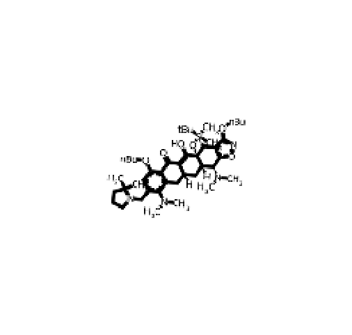 CCCCOc1cc(CN2CCCC2(C)C)c(N(C)C)c2c1C(=O)C1=C(O)[C@]3(O[Si](C)(C)C(C)(C)C)C(=O)c4c(OCCCC)noc4[C@@H](N(C)C)[C@@H]3C[C@@H]1C2